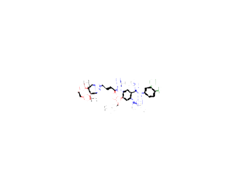 C=Nc1cc(OCC(F)(F)F)c(NC(=O)/C=C/CN2C[C@@H]3OCCO[C@@H]3C2)cc1/C(=N\C)Nc1ccc(F)c(Cl)c1